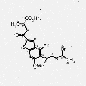 COc1cc2sc(C(=O)C[C@H](C)C(=O)O)cc2c(F)c1OCCC(C)Br